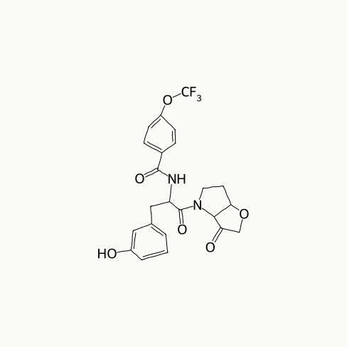 O=C(NC(Cc1cccc(O)c1)C(=O)N1CCC2OCC(=O)C21)c1ccc(OC(F)(F)F)cc1